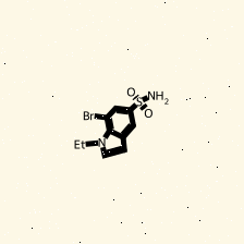 CCn1ccc2cc(S(N)(=O)=O)cc(Br)c21